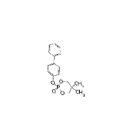 CC1(C)COP(=O)(Oc2ccc(-c3ccccc3)cc2)OC1